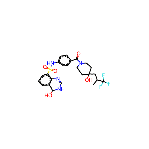 CC(CC1(O)CCN(C(=O)c2ccc(NS(=O)(=O)c3cccc4c3N=CNC4O)cc2)CC1)C(F)(F)F